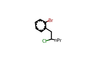 CCCC(Cl)Cc1ccccc1Br